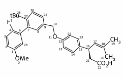 COc1ccc(F)c(-c2cc(COc3ccc([C@@H](C=C(C)C)CC(=O)O)cc3)ccc2C(C)(C)C)c1